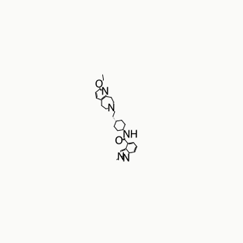 CCOc1ccc2c(n1)CCN(CC[C@H]1CC[C@H](NC(=O)c3cccc4nn(C)cc34)CC1)CC2